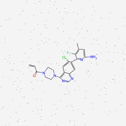 C=CC(=O)N1CCN(c2ncnc3cc(-c4nc(N)cc(C)c4F)c(Cl)cc23)CC1